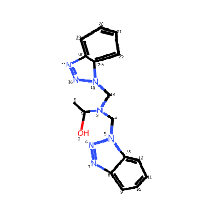 CC(O)N(Cn1nnc2ccccc21)Cn1nnc2ccccc21